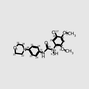 COc1cc(OC)c(N(S)C(=O)Nc2ccc(N3CCOCC3)cc2)cc1Cl